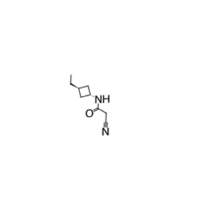 CC[C@H]1C[C@H](NC(=O)CC#N)C1